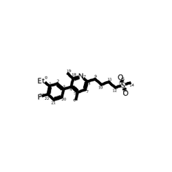 CCc1cc(-c2c(C)cc(CCCCS(C)(=O)=O)nc2C)ccc1F